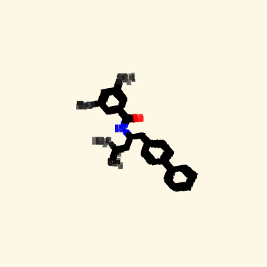 COc1cc(C(=O)O)cc(C(=O)NC(Cc2ccc(-c3ccccc3)cc2)C[C@@H](C)C(=O)O)c1